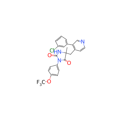 CC1(Cc2ccncc2-c2cccc(Cl)c2)NC(=O)N(c2ccc(OC(F)(F)F)cc2)C1=O